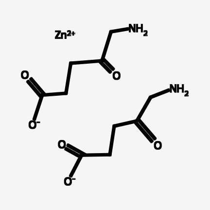 NCC(=O)CCC(=O)[O-].NCC(=O)CCC(=O)[O-].[Zn+2]